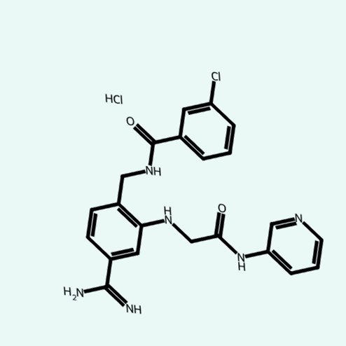 Cl.N=C(N)c1ccc(CNC(=O)c2cccc(Cl)c2)c(NCC(=O)Nc2cccnc2)c1